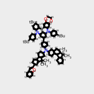 CC(C)(C)c1ccc(N2c3ccc(C(C)(C)C)cc3B3c4cc5c(cc4N(c4ccc(C(C)(C)C)cc4)c4cc(-c6ccc(N(c7ccc8c(c7)C(C)(C)c7cc(-c9cc%10ccccc%10o9)ccc7-8)c7ccc8c9c(ccc8c7)C(C)(C)c7ccccc7-9)cc6)cc2c43)OCCO5)cc1